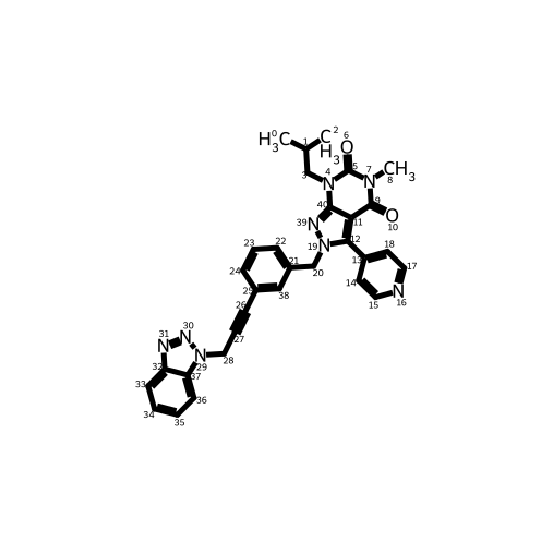 CC(C)Cn1c(=O)n(C)c(=O)c2c(-c3ccncc3)n(Cc3cccc(C#CCn4nnc5ccccc54)c3)nc21